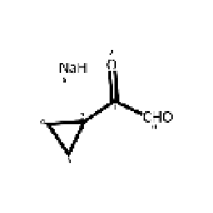 O=CC(=O)C1CC1.[NaH]